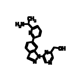 C[C@H](N)c1cccc(-c2ccc3cnn(-c4cncc(CO)n4)c3c2)n1